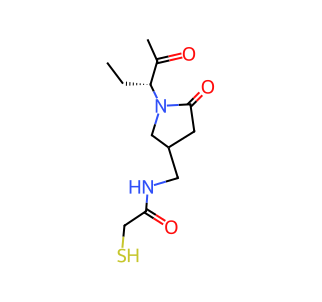 CC[C@H](C(C)=O)N1CC(CNC(=O)CS)CC1=O